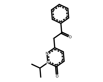 CC(C)n1nc([CH]C(=O)c2ccccc2)ccc1=O